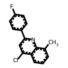 Cc1cccc2c(Cl)cc(-c3ccc(F)cc3)nc12